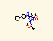 Cc1c(C=O)nc(N2CCOC(C3CC3)C2)nc1Nc1ccc(C2CCCCC2)cc1